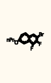 CCCOc1ccc2cc(Br)c(F)c(F)c2c1